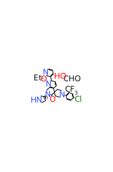 CCOc1ncccc1-c1ccc2c(n1)CN([C@@H]1CCNC1)C(=O)C21CCN(c2ccc(Cl)cc2C(F)(F)F)CC1.O=CO